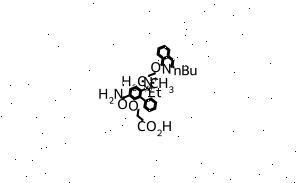 CCCCc1cc2ccccc2c(OCC[N+](C)(C)[C@@H](CC)c2ccc(C(N)=O)c(OCCCC(=O)O)c2-c2ccccc2)n1